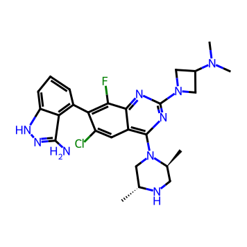 C[C@@H]1CN(c2nc(N3CC(N(C)C)C3)nc3c(F)c(-c4cccc5[nH]nc(N)c45)c(Cl)cc23)[C@@H](C)CN1